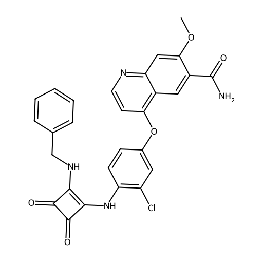 COc1cc2nccc(Oc3ccc(Nc4c(NCc5ccccc5)c(=O)c4=O)c(Cl)c3)c2cc1C(N)=O